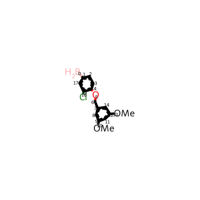 Bc1ccc(OCc2cc(OC)cc(OC)c2)c(Cl)c1